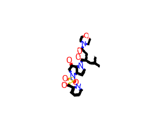 CC(C)CC(CC(=O)N1CCOCC1)C(=O)N1CCC2C1C(=O)CN2S(=O)(=O)C(=O)c1ccccn1